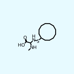 CNC(NSC1CCCCCCCCCCC1)C(=O)O